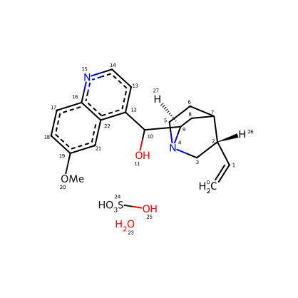 C=C[C@@H]1CN2CCC1C[C@@H]2C(O)c1ccnc2ccc(OC)cc12.O.O=S(=O)(O)O